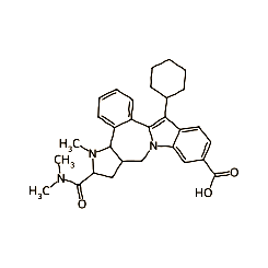 CN(C)C(=O)C1CC2Cn3c(c(C4CCCCC4)c4ccc(C(=O)O)cc43)-c3ccccc3C2N1C